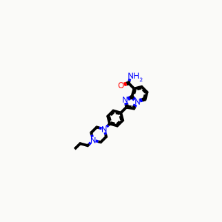 CCCN1CCN(c2ccc(-c3cn4cccc(C(N)=O)c4n3)cc2)CC1